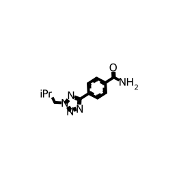 CC(C)Cn1nnc(-c2ccc(C(N)=O)cc2)n1